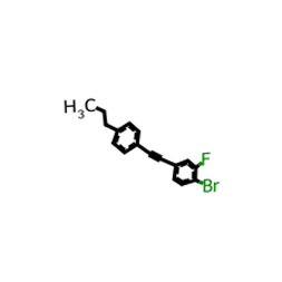 CCCc1ccc(C#Cc2ccc(Br)c(F)c2)cc1